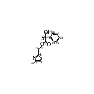 Cc1csc(CCOC(=O)C(C)(O)c2ccccc2)n1